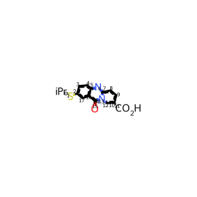 CC(C)Sc1ccc2nc3ccc(C(=O)O)cn3c(=O)c2c1